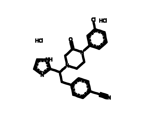 Cl.Cl.N#Cc1ccc(CC(c2ncc[nH]2)N2CCN(c3cccc(Cl)c3)C(=O)C2)cc1